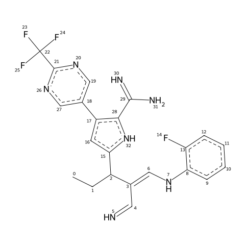 CCC(/C(C=N)=C/Nc1ccccc1F)c1cc(-c2cnc(C(F)(F)F)nc2)c(C(=N)N)[nH]1